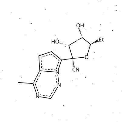 CC[C@H]1O[C@@](C#N)(c2ccc3c(C)ncnn23)[C@H](O)[C@@H]1O